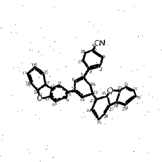 N#CC1=CC=C(C2=CC(c3ccc4c(c3)C3C=CC=CC3O4)=CC(C3C=CC=C4C5C=CC=CC5OC43)C2)CC1